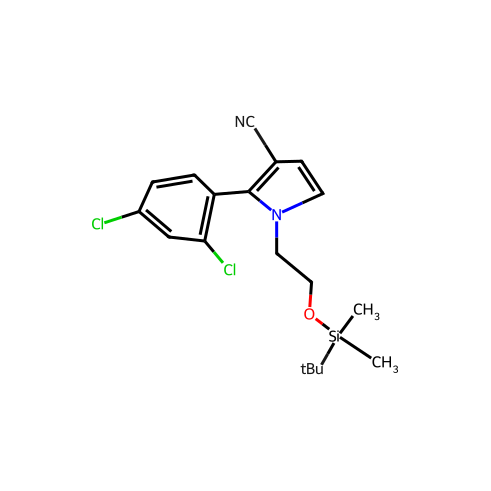 CC(C)(C)[Si](C)(C)OCCn1ccc(C#N)c1-c1ccc(Cl)cc1Cl